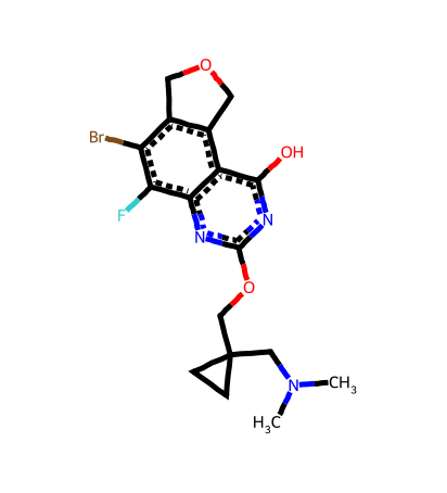 CN(C)CC1(COc2nc(O)c3c4c(c(Br)c(F)c3n2)COC4)CC1